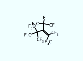 FC(F)(F)C(=C(C(F)(C(F)(F)F)C(F)(F)F)C(C(F)(F)F)(C(F)(F)F)C(F)(F)F)C(F)(F)F